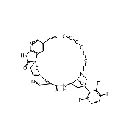 O=C1NC2CC(c3c(F)ccc(F)c3F)CN(CCCCCOCC=Cc3cnc4c(c3)C3(Cc5cc1cnc5C3)C(=O)N4)C2=O